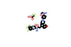 CNC(=O)[C@@H](Cc1cc(F)c(F)c(F)c1)NC(=O)CC1CC2(CCN(c3ccc4c(c3)OCCN4)CC2)c2cc(F)ccc21.O=C(O)C(F)(F)F